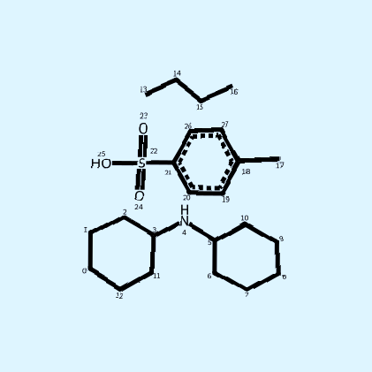 C1CCC(NC2CCCCC2)CC1.CCCC.Cc1ccc(S(=O)(=O)O)cc1